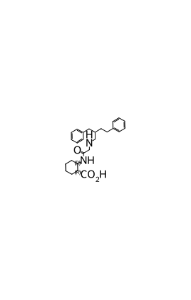 O=C(CNCC(CCc1ccccc1)Cc1ccccc1)N[C@@H]1CCCC[C@H]1C(=O)O